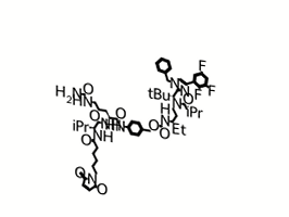 CC[C@H](CCN(C(=O)C(C)C)[C@@H](c1nc(-c2cc(F)cc(F)c2F)cn1Cc1ccccc1)C(C)(C)C)NC(=O)OCc1ccc(NC(=O)[C@H](CCCNC(N)=O)NC(=O)[C@@H](NC(=O)CCCCCN2C(=O)C=CC2=O)C(C)C)cc1